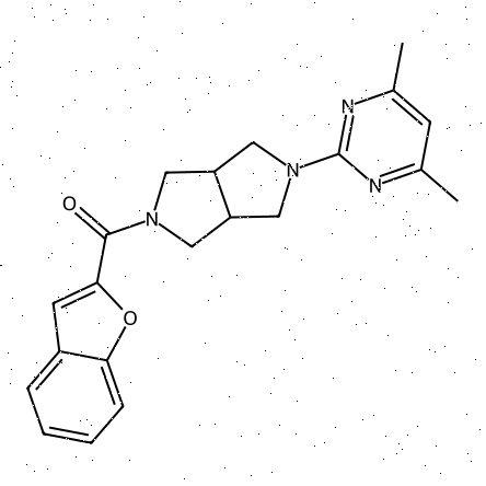 Cc1cc(C)nc(N2CC3CN(C(=O)c4cc5ccccc5o4)CC3C2)n1